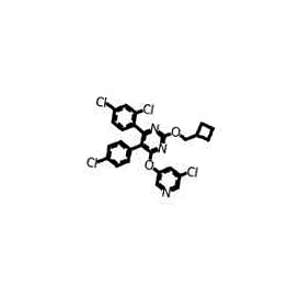 Clc1ccc(-c2c(Oc3cncc(Cl)c3)nc(OCC3CCC3)nc2-c2ccc(Cl)cc2Cl)cc1